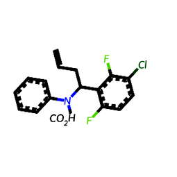 C=CCC(c1c(F)ccc(Cl)c1F)N(C(=O)O)c1ccccc1